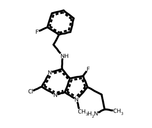 CC(N)Cc1c(F)c2c(NCc3ccccc3F)nc(Cl)nc2n1C